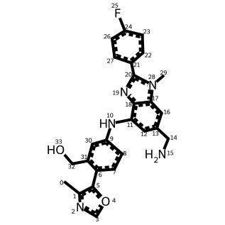 Cc1ncoc1-c1ccc(Nc2cc(CN)cc3c2nc(-c2ccc(F)cc2)n3C)cc1CO